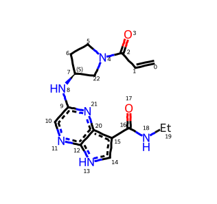 C=CC(=O)N1CC[C@H](Nc2cnc3[nH]cc(C(=O)NCC)c3n2)C1